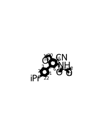 CC(C)c1ccc(-c2cc(NC(=O)[C@H]3CO3)c(C#N)c3c2OCC3)cc1